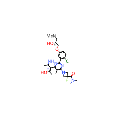 CNC[C@@H](O)COc1ccc(Cl)c(-c2nc(/C(C(C)=N)=C(\C)O)c(C)c(N3CC(F)(C(=O)N(C)C)C3)n2)c1